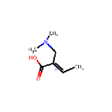 C/C=C(\CN(C)C)C(=O)O